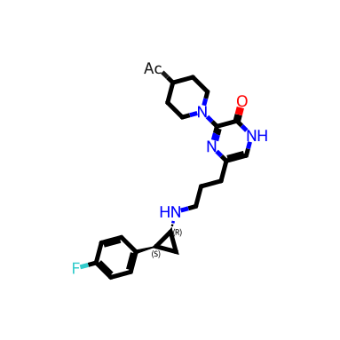 CC(=O)C1CCN(c2nc(CCCN[C@@H]3C[C@H]3c3ccc(F)cc3)c[nH]c2=O)CC1